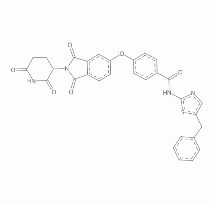 O=C1CCC(N2C(=O)c3ccc(Oc4ccc(C(=O)Nc5ncc(Cc6ccccc6)s5)cc4)cc3C2=O)C(=O)N1